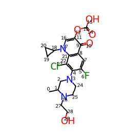 CC1CN(c2c(F)cc3c(=O)c(OC(=O)O)cn(C4CC4)c3c2Cl)CCN1CCO